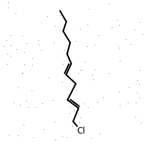 CCCCCC=CCC=CCCl